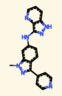 Cn1nc(-c2ccncc2)c2ccc(Nc3n[nH]c4cccnc34)cc21